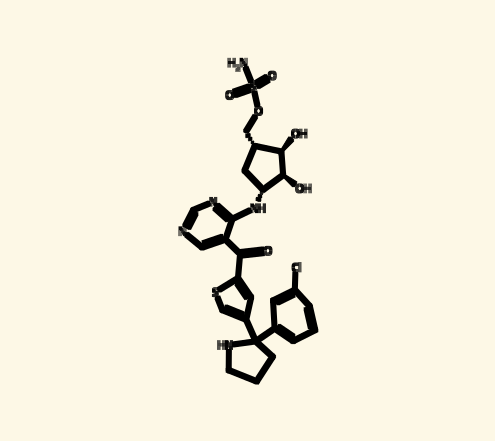 NS(=O)(=O)OC[C@H]1C[C@@H](Nc2ncncc2C(=O)c2cc(C3(c4cccc(Cl)c4)CCCN3)cs2)[C@H](O)[C@@H]1O